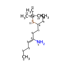 CCCC=C(N)CCC(CC)S[Si](C)(C)C